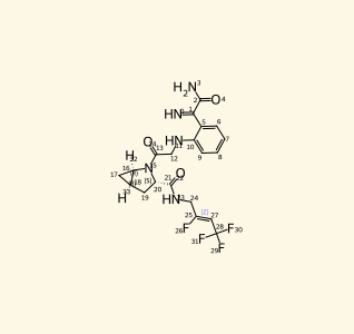 N=C(C(N)=O)c1ccccc1NCC(=O)N1[C@@H]2C[C@@H]2C[C@H]1C(=O)NC/C(F)=C/C(F)(F)F